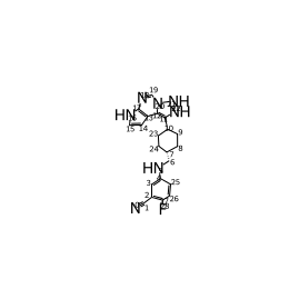 N#Cc1cc(NC[C@H]2CC[C@H](C3=C4c5cc[nH]c5N=CN4NN3)CC2)ccc1F